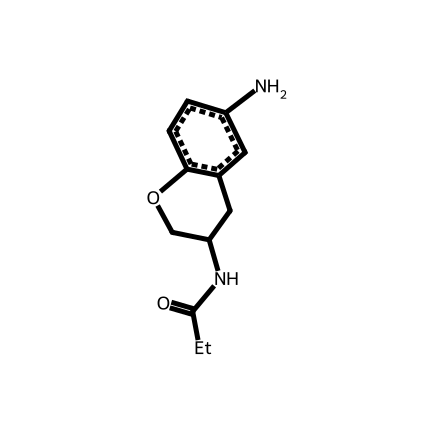 CCC(=O)NC1COc2ccc(N)cc2C1